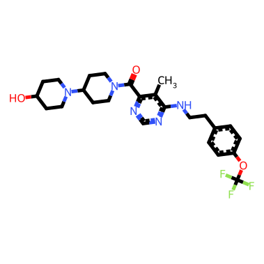 Cc1c(NCCc2ccc(OC(F)(F)F)cc2)ncnc1C(=O)N1CCC(N2CCC(O)CC2)CC1